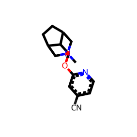 CN1CC2CCC(C1)C2COc1cc(C#N)ccn1